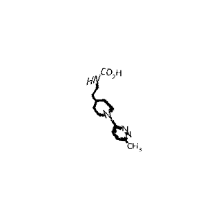 Cc1ccc(N2CCC(CCNC(=O)O)CC2)nn1